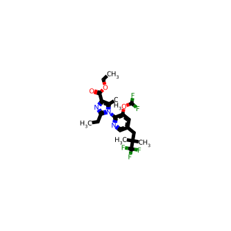 CCOC(=O)c1nc(CC)n(-c2ncc(CC(C)(C)C(F)(F)F)cc2OC(F)F)c1C